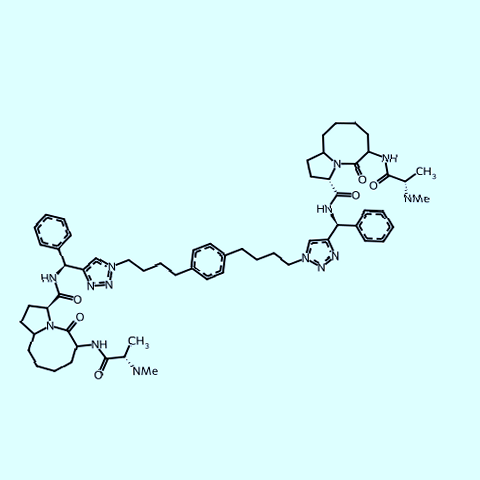 CN[C@@H](C)C(=O)NC1CCCCC2CC[C@@H](C(=O)N[C@@H](c3ccccc3)c3cn(CCCCc4ccc(CCCCn5cc([C@@H](NC(=O)[C@@H]6CCC7CCCCC(NC(=O)[C@H](C)NC)C(=O)N76)c6ccccc6)nn5)cc4)nn3)N2C1=O